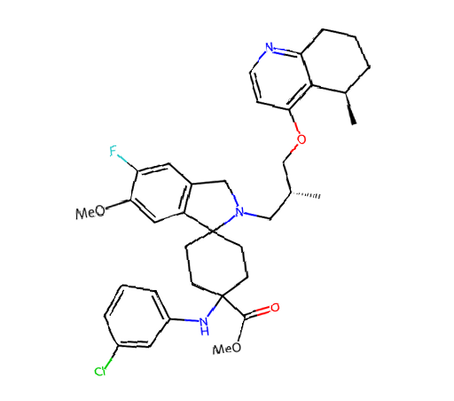 COC(=O)C1(Nc2cccc(Cl)c2)CCC2(CC1)c1cc(OC)c(F)cc1CN2C[C@@H](C)COc1ccnc2c1[C@H](C)CCC2